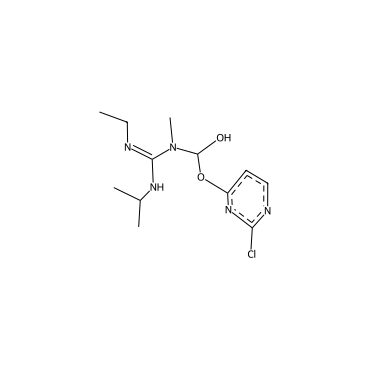 CC/N=C(/NC(C)C)N(C)C(O)Oc1ccnc(Cl)n1